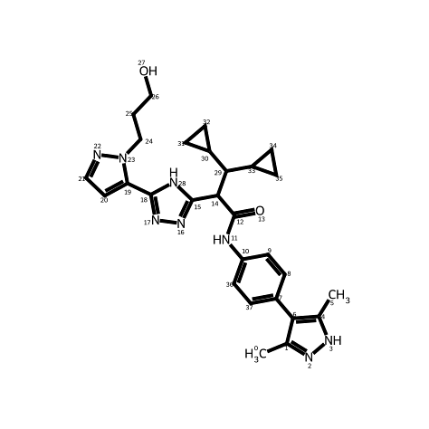 Cc1n[nH]c(C)c1-c1ccc(NC(=O)C(c2nnc(-c3ccnn3CCCO)[nH]2)C(C2CC2)C2CC2)cc1